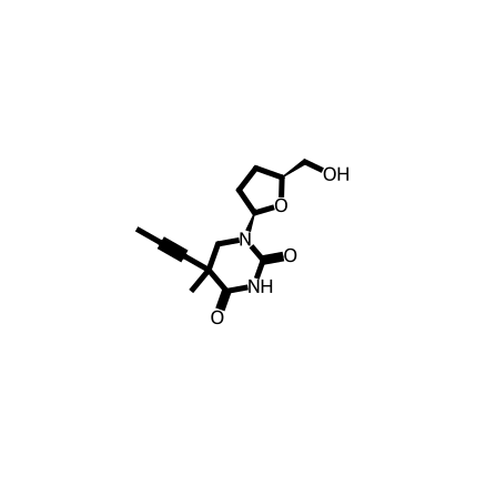 CC#CC1(C)CN([C@H]2CC[C@@H](CO)O2)C(=O)NC1=O